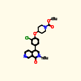 CCCCn1cc(-c2ccc(OC3CCN(C(=O)OC(C)(C)C)CC3)c(Cl)c2)c2ccncc2c1=O